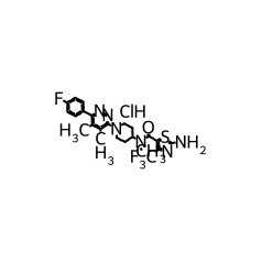 Cc1c(-c2ccc(F)cc2)nnc(N2CCC(N(C)C(=O)c3sc(N)nc3C(F)(F)F)CC2)c1C.Cl